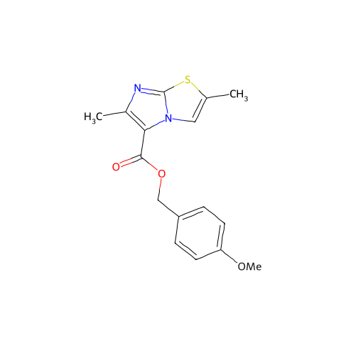 COc1ccc(COC(=O)c2c(C)nc3sc(C)cn23)cc1